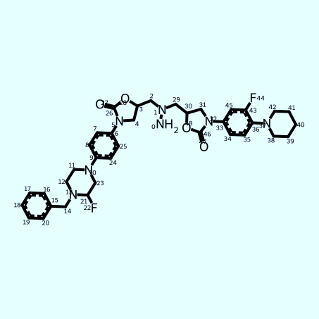 NN(CC1CN(c2ccc(N3CCN(Cc4ccccc4)C(F)C3)cc2)C(=O)O1)CC1CN(c2ccc(N3CCCCC3)c(F)c2)C(=O)O1